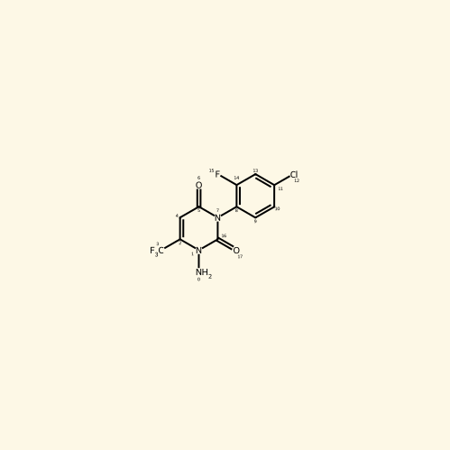 Nn1c(C(F)(F)F)cc(=O)n(-c2ccc(Cl)cc2F)c1=O